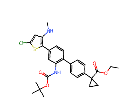 CCOC(=O)C1(c2ccc(-c3ccc(-c4sc(Cl)cc4NC)cc3NC(=O)OC(C)(C)C)cc2)CC1